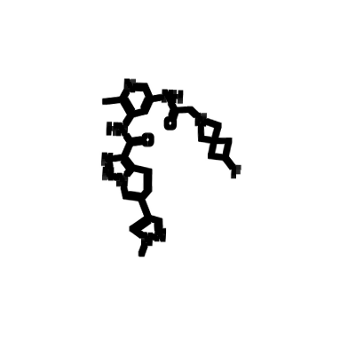 Cc1ncc(NC(=O)CN2CC3(CC(F)C3)C2)cc1NC(=O)c1nnn2cc(-c3cnn(C)c3)ccc12